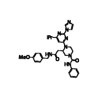 COc1ccc(CNC(=O)CC2CN(C(=O)Nc3ccccc3)CCN2c2cc(C(C)C)nc(-n3ccnc3)n2)cc1